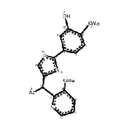 COc1ccc(-c2nc(C(C(C)=O)c3ncccc3OC)co2)cc1O